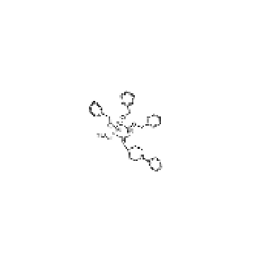 OC[C@@H]1[C@@H](OCc2ccccc2)[C@H](OCc2ccccc2)[C@@H](OCc2ccccc2)CN1CC1CCN(c2ccccc2)CC1